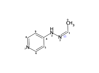 C/C=N\Nc1ccncc1